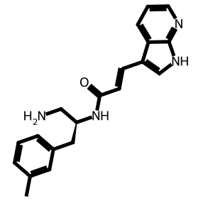 Cc1cccc(C[C@@H](CN)NC(=O)/C=C/c2c[nH]c3ncccc23)c1